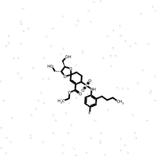 CCCCc1cc(F)ccc1NS(=O)(=O)C1CCC2(C=C1C(=O)OCC)O[C@H](CO)[C@@H](CO)O2